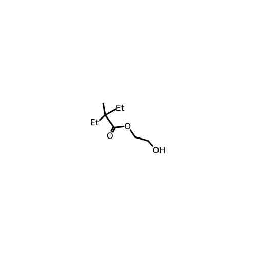 CCC(C)(CC)C(=O)OCCO